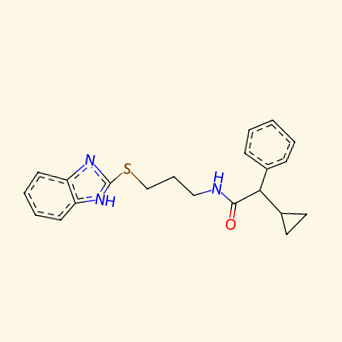 O=C(NCCCSc1nc2ccccc2[nH]1)C(c1ccccc1)C1CC1